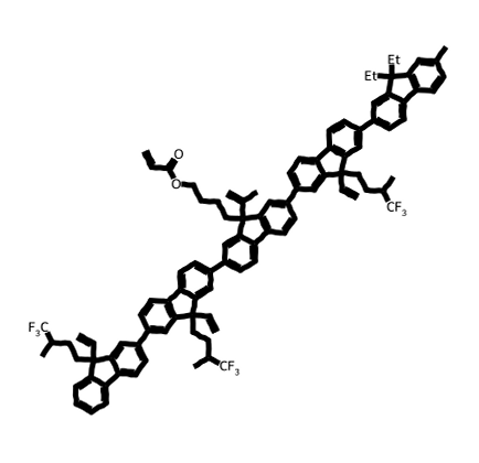 C=CC(=O)OCCCCC1(C(=C)C)c2cc(-c3ccc4c(c3)C(C=C)(CCC(C)C(F)(F)F)c3cc(-c5ccc6c(c5)C(C=C)(CCC(C)C(F)(F)F)c5ccccc5-6)ccc3-4)ccc2-c2ccc(-c3ccc4c(c3)C(C=C)(CCC(C)C(F)(F)F)c3cc(-c5ccc6c(c5)C(CC)(CC)c5cc(C)ccc5-6)ccc3-4)cc21